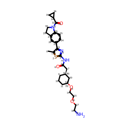 Cc1sc(NC(=O)C[C@@H]2CCC[C@H](OCCOCCN)C2)nc1-c1ccc2c(c1)CCN2C(=O)C1CC1